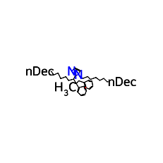 CCCCCCCCCCCCCCCCCn1ccnc1C(CCCCCCCCCCCCCCC)C(C)(Cc1ccccc1)c1ccccc1